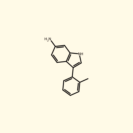 Cc1ccccc1-c1c[nH]c2cc(N)ccc12